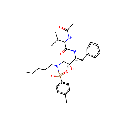 CCCCCN(C[C@@H](O)[C@H](Cc1ccccc1)NC(=O)C(NC(C)=O)C(C)C)S(=O)(=O)c1ccc(C)cc1